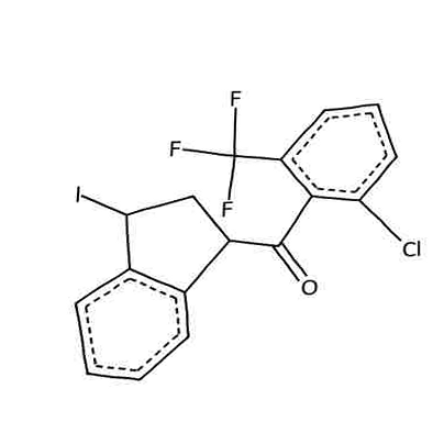 O=C(c1c(Cl)cccc1C(F)(F)F)C1CC(I)c2ccccc21